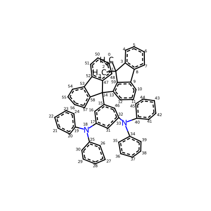 CC1(C)c2ccccc2-c2cccc(C3(c4cc(N(c5ccccc5)c5ccccc5)cc(N(c5ccccc5)c5ccccc5)c4)c4ccccc4-c4ccccc43)c21